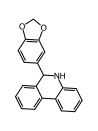 c1ccc2c(c1)NC(c1ccc3c(c1)OCO3)c1ccccc1-2